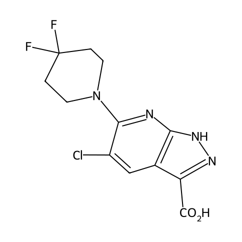 O=C(O)c1n[nH]c2nc(N3CCC(F)(F)CC3)c(Cl)cc12